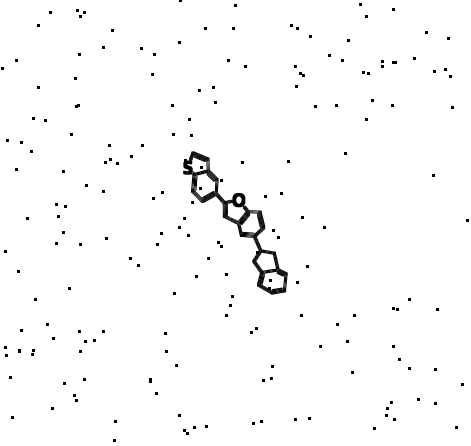 c1ccc2c(c1)CC(c1ccc3oc(-c4ccc5sccc5c4)cc3c1)C2